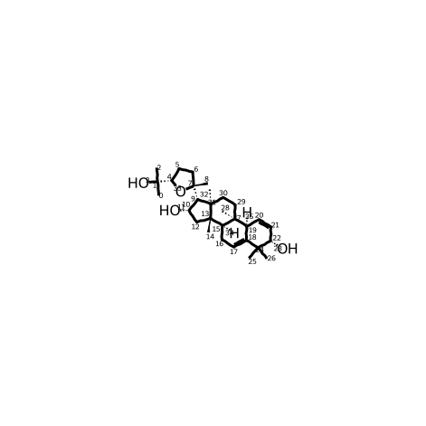 CC(C)(O)[C@@H]1CC[C@](C)([C@H]2[C@@H](O)C[C@@]3(C)[C@@H]4CC=C5[C@H](C=C[C@H](O)C5(C)C)[C@]4(C)CC[C@]23C)O1